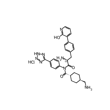 Cl.NC[C@H]1CC[C@H](C(=O)N(C(=O)[C@@H](N)Cc2ccc(-c3cccnc3O)cc2)c2ccc(-c3nn[nH]n3)cc2)CC1